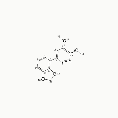 COc1ccc(-c2[c]ccc3c2OCO3)cc1OC